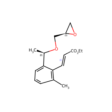 CCOC(=O)/C=C/c1c(C)cccc1[C@@H](C)OC[C@H]1CO1